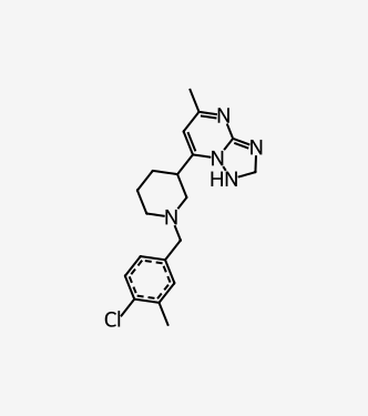 CC1=NC2=NCNN2C(C2CCCN(Cc3ccc(Cl)c(C)c3)C2)=C1